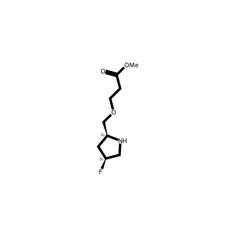 COC(=O)CCOC[C@@H]1C[C@H](F)CN1